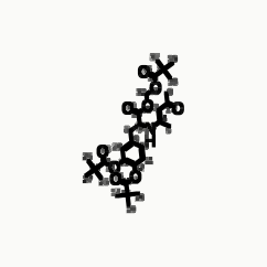 CC(=O)C=C(C)N[C@@H](Cc1ccc(OC(=O)C(C)(C)C)c(OC(=O)C(C)(C)C)c1)C(=O)OCOC(=O)C(C)(C)C